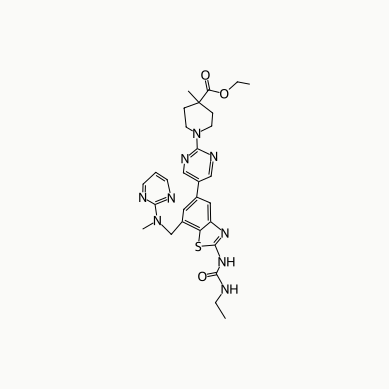 CCNC(=O)Nc1nc2cc(-c3cnc(N4CCC(C)(C(=O)OCC)CC4)nc3)cc(CN(C)c3ncccn3)c2s1